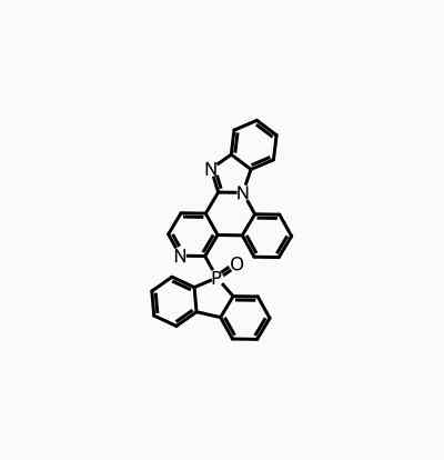 O=P1(c2nccc3c2c2ccccc2n2c4ccccc4nc32)c2ccccc2-c2ccccc21